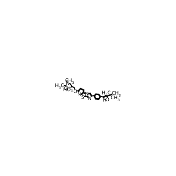 CC(C)N(C)CC(O)COc1ccc2c(n1)sc1nc(-c3ccc(-c4cc(C(C)(C)C)on4)cc3)cn12